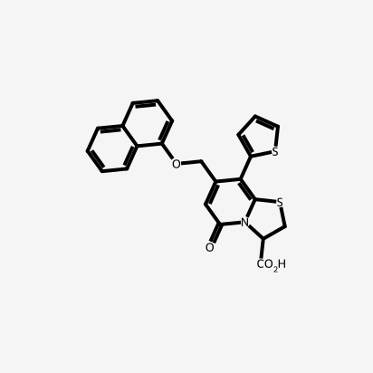 O=C(O)C1CSc2c(-c3cccs3)c(COc3cccc4ccccc34)cc(=O)n21